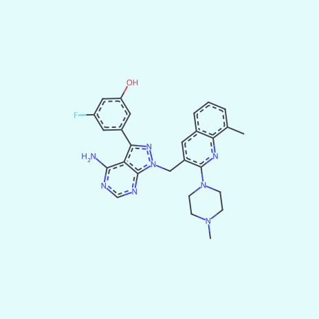 Cc1cccc2cc(Cn3nc(-c4cc(O)cc(F)c4)c4c(N)ncnc43)c(N3CCN(C)CC3)nc12